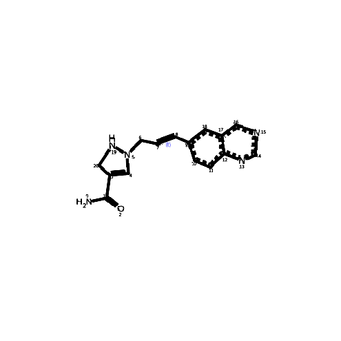 NC(=O)C1=CN(C/C=C/c2ccc3ncncc3c2)NC1